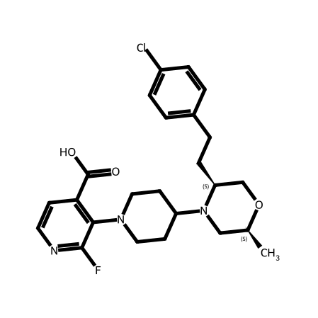 C[C@H]1CN(C2CCN(c3c(C(=O)O)ccnc3F)CC2)[C@@H](CCc2ccc(Cl)cc2)CO1